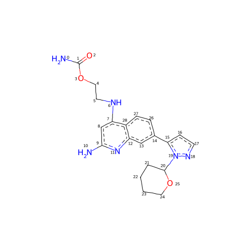 NC(=O)OCCNc1cc(N)nc2cc(-c3ccnn3C3CCCCO3)ccc12